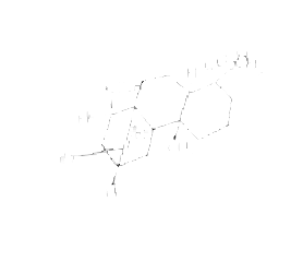 CC(C)C1=C[C@@]23CC[C@@H]4[C@](C)(CCC[C@@]4(C)C(=O)O)[C@H]2C[C@@H]1C[C@H]3C(=O)O